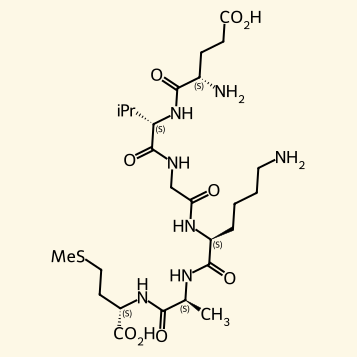 CSCC[C@H](NC(=O)[C@H](C)NC(=O)[C@H](CCCCN)NC(=O)CNC(=O)[C@@H](NC(=O)[C@@H](N)CCC(=O)O)C(C)C)C(=O)O